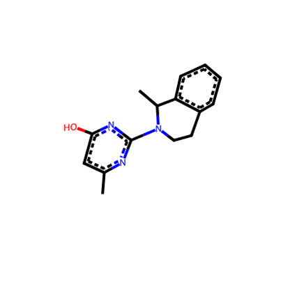 Cc1cc(O)nc(N2CCc3ccccc3C2C)n1